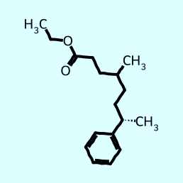 CCOC(=O)CCC(C)CC[C@H](C)c1ccccc1